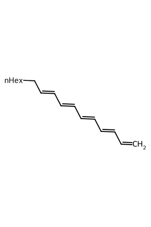 [CH2]CCCCCCC=CC=CC=CC=CC=C